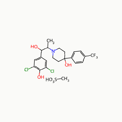 CC(C(O)c1cc(Cl)c(O)c(Cl)c1)N1CCC(O)(c2ccc(C(F)(F)F)cc2)CC1.CS(=O)(=O)O